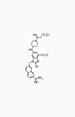 CCOC(=O)CC(=N)N1CCC(Nc2cc(C(=O)O)c3nc(C(C)C)n(Cc4ccc5ccc(C(=N)N)cc5c4)c3c2)CC1